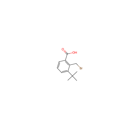 CC(C)(C)c1cccc(C(=O)O)c1CBr